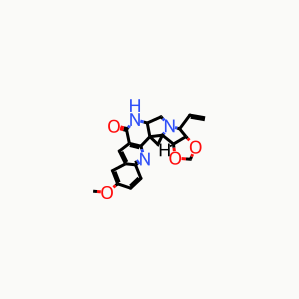 C=CC1C2OCO[C@H]2C23CC24c2nc5ccc(OC)cc5cc2C(=O)NC4CN13